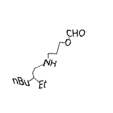 CCCCC(CC)CNCCCOC=O